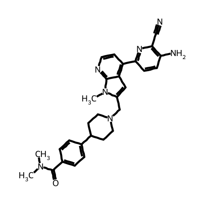 CN(C)C(=O)c1ccc(C2CCN(Cc3cc4c(-c5ccc(N)c(C#N)n5)ccnc4n3C)CC2)cc1